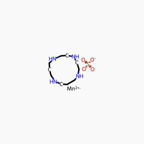 C1CNCCCNCCNCCNC1.O=S(=O)([O-])[O-].[Mn+2]